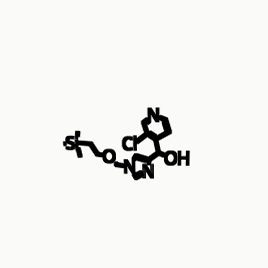 C[Si](C)(C)CCOCn1cnc(C(O)c2ccncc2Cl)c1